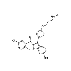 CCNCCCOc1ccc(-c2c(C(=O)c3cc(Cl)ccc3C)sc3cc(O)ccc23)cc1